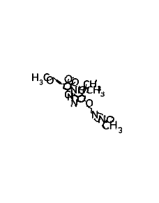 COCC#Cc1cc(Cl)c(Nc2ncnc3cc(OCCCN4CCN(C(C)=O)CC4)cc(OC(C)C)c23)c2c1OCO2